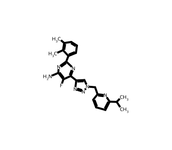 Cc1cccc(-c2nc(N)c(F)c(-c3cn(Cc4cccc(C(C)C)n4)nn3)n2)c1C